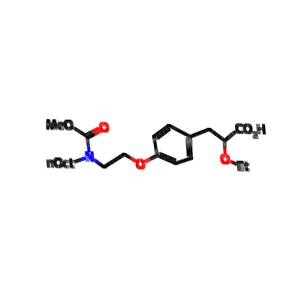 CCCCCCCCN(CCOc1ccc(CC(OCC)C(=O)O)cc1)C(=O)OC